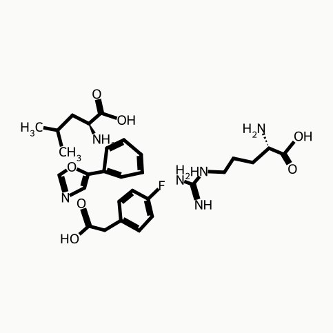 CC(C)C[C@H](N)C(=O)O.N=C(N)NCCC[C@H](N)C(=O)O.O=C(O)Cc1ccc(F)cc1.c1ccc(-c2cnco2)cc1